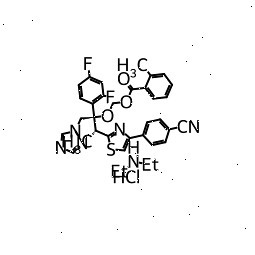 CCNCC.Cc1ccccc1C(=O)OCO[C@@](Cn1cncn1)(c1ccc(F)cc1F)[C@@H](C)c1nc(-c2ccc(C#N)cc2)cs1.Cl